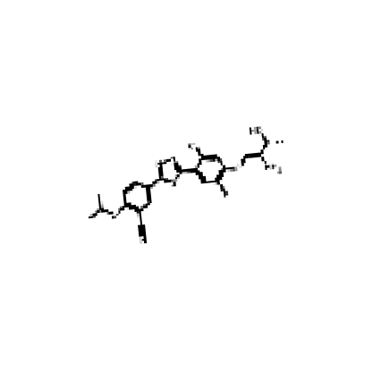 CC(C)Oc1ccc(-c2nnc(-c3cc(F)c(OC[C@H](N)[C@@H](C)O)cc3Cl)s2)cc1C#N